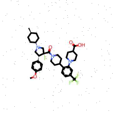 COc1ccc([C@@H]2CN([C@H]3CC[C@H](C)CC3)C[C@@]2(F)C(=O)N2CCC(c3ccc(C(F)(F)F)cc3N3CCC(C(=O)O)CC3)CC2)cc1